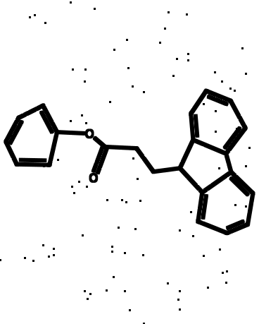 O=C(CCC1c2ccccc2-c2ccccc21)Oc1ccccc1